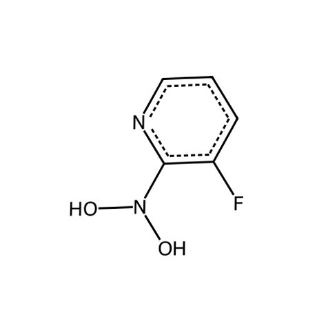 ON(O)c1ncccc1F